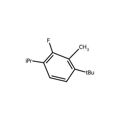 Cc1c(C(C)(C)C)ccc(C(C)C)c1F